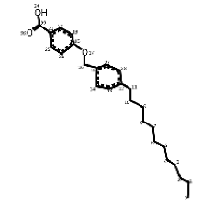 CCCCCCCCCCCCc1ccc(COc2ccc(C(=O)O)cc2)cc1